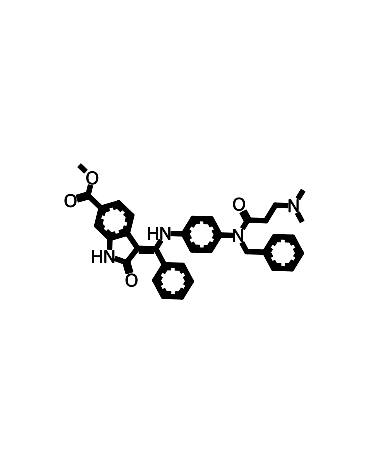 COC(=O)c1ccc2c(c1)NC(=O)C2=C(Nc1ccc(N(Cc2ccccc2)C(=O)CCN(C)C)cc1)c1ccccc1